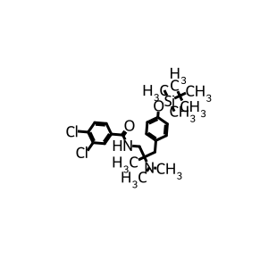 CN(C)C(C)(CNC(=O)c1ccc(Cl)c(Cl)c1)Cc1ccc(O[Si](C)(C)C(C)(C)C)cc1